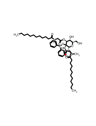 CCCCCCCCCCCC(=O)NCC(=O)O[C@H]1[C@H](O)[C@@H](CO)O[C@H](OCC)[C@]1(NC(=O)CN(C)C(=O)CCCCCCCCCCC)OP(c1ccccc1)c1ccccc1